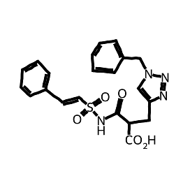 O=C(O)C(Cc1cn(Cc2ccccc2)nn1)C(=O)NS(=O)(=O)/C=C/c1ccccc1